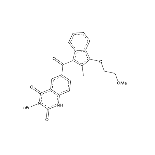 CCCn1c(=O)[nH]c2ccc(C(=O)c3c(C)c(OCCOC)c4ccccn34)cc2c1=O